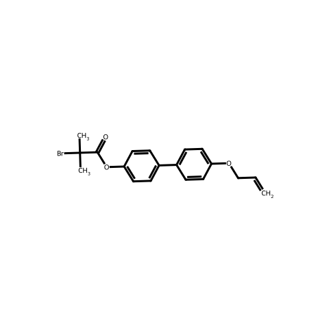 C=CCOc1ccc(-c2ccc(OC(=O)C(C)(C)Br)cc2)cc1